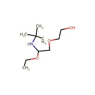 CCOC(COCCO)NC(C)(C)C